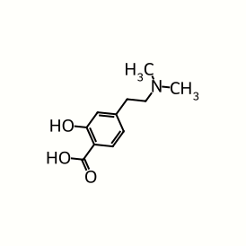 CN(C)CCc1ccc(C(=O)O)c(O)c1